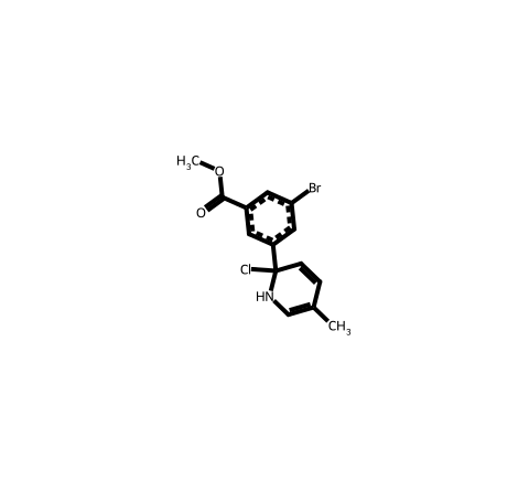 COC(=O)c1cc(Br)cc(C2(Cl)C=CC(C)=CN2)c1